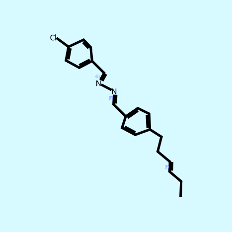 CC/C=C/CCc1ccc(/C=N/N=C/c2ccc(Cl)cc2)cc1